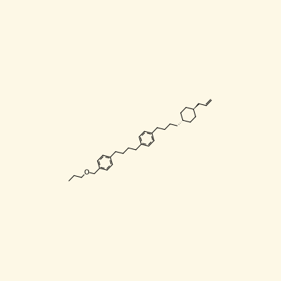 C=CC[C@H]1CC[C@H](CCCCc2ccc(CCCCc3ccc(COCCC)cc3)cc2)CC1